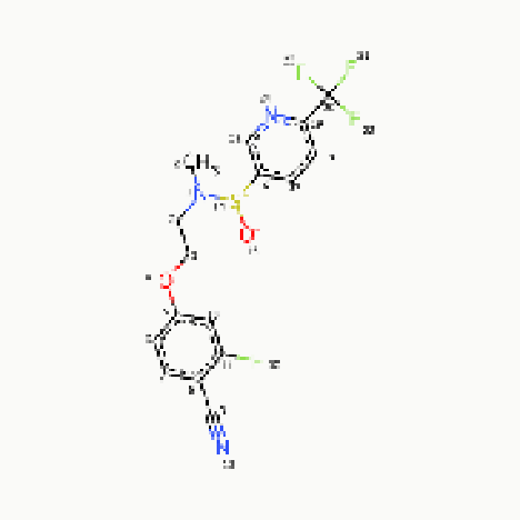 CN(CCOc1ccc(C#N)c(F)c1)[S+]([O-])c1ccc(C(F)(F)F)nc1